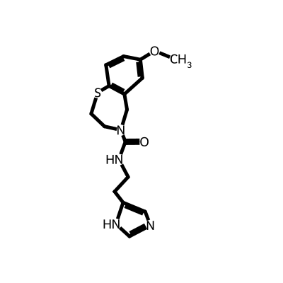 COc1ccc2c(c1)CN(C(=O)NCCc1cnc[nH]1)CCS2